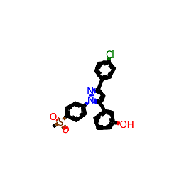 CS(=O)(=O)c1ccc(-n2nc(-c3ccc(Cl)cc3)cc2-c2cccc(O)c2)cc1